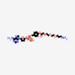 NCCCOCCOCCOCC(=O)Oc1ccc(CSP(=O)(O)OC[C@@H]2CC[C@H](n3cnc4c(N)ncnc43)O2)cc1